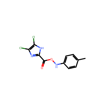 Cc1ccc(NOC(=O)c2nc(Cl)c(Cl)[nH]2)cc1